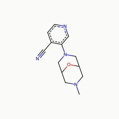 CN1CC2CN(c3cnccc3C#N)CC(C1)O2